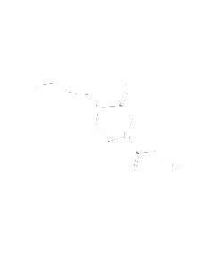 CC(C)(C)OC(=O)N1CCN(CCCBr)C(=O)C1